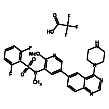 COc1ncc(-c2ccc3ncnc(N4CCNCC4)c3c2)cc1N(C)S(=O)(=O)c1c(F)cccc1F.O=C(O)C(F)(F)F